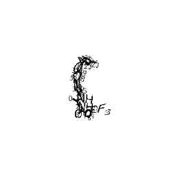 C=C(CNC(=O)c1cccc(C(F)(F)F)c1)NC1CN(C2CCC(Oc3cc(C)ccn3)CC2)C1